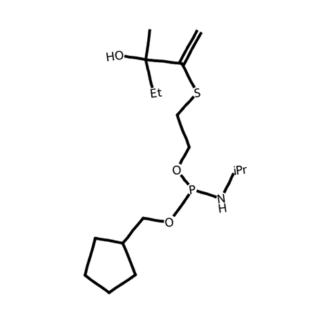 C=C(SCCOP(NC(C)C)OCC1CCCC1)C(C)(O)CC